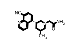 C[C@H]1C[C@H](c2ccc(C#N)c3ncccc23)CN(CC(N)=O)C1